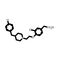 CCOC(=O)Cc1ccc(OCCN2CCC(Cc3ccc(Cl)cc3)CC2)c(Cl)c1